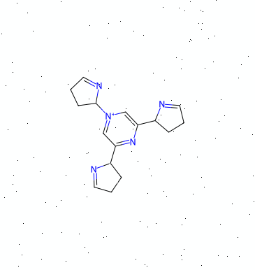 C1=NC(c2c[n+](C3CCC=N3)cc(C3CCC=N3)n2)CC1